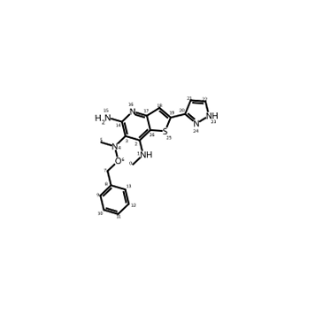 CNc1c(N(C)OCc2ccccc2)c(N)nc2cc(-c3cc[nH]n3)sc12